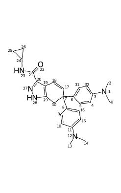 CN(C)c1ccc(C2(c3ccc(N(C)C)cc3)C=Cc3c(C(=O)NC4CC4)n[nH]c3C2)cc1